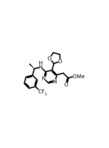 COC(=O)Cc1ncnc(N[C@H](C)c2cccc(C(F)(F)F)c2)c1C1OCCO1